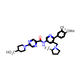 COc1ccc(-c2ncc(NC(=O)c3cnc(N4CCC(C(=O)O)CC4)cn3)cc2CN2CCC[C@H]2C(F)(F)F)cc1C(F)(F)F